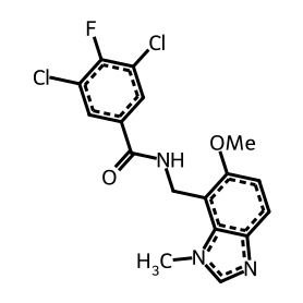 COc1ccc2ncn(C)c2c1CNC(=O)c1cc(Cl)c(F)c(Cl)c1